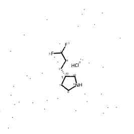 Cl.FC(F)CC[C@H]1CCNC1